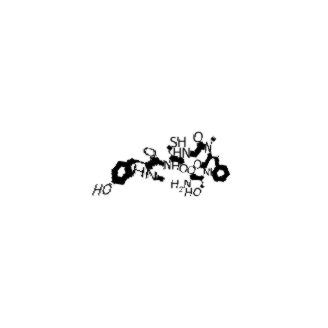 CN[C@@H](Cc1ccc(O)cc1)C(=O)N[C@H](CS)C(=O)NCC(=O)N(C)[C@@H](Cc1ccccc1)C(=O)N[C@H](CO)C(N)=O